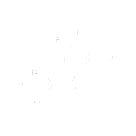 FC(F)(F)c1ccccc1-c1ccc2c(c1)N=CCO2